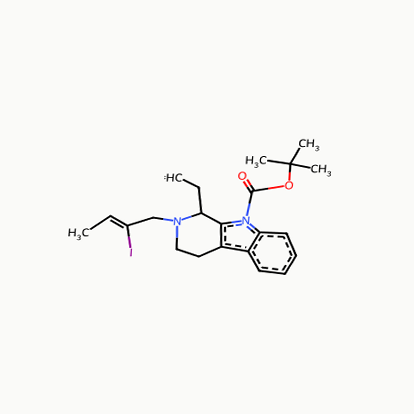 [CH]CC1c2c(c3ccccc3n2C(=O)OC(C)(C)C)CCN1CC(I)=CC